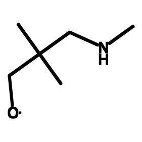 CNCC(C)(C)C[O]